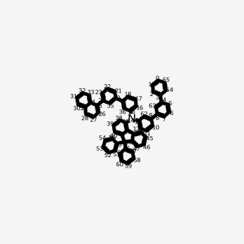 c1ccc(-c2cccc(-c3cccc(N(c4cccc(-c5cccc(-c6cccc7ccccc67)c5)c4)c4cccc5c4-c4ccccc4C5(c4ccccc4)c4ccccc4)c3)c2)cc1